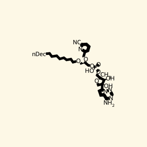 CCCCCCCCCCCCCCCCCCOC[C@H](COP(=O)(O)OC[C@@]1(C)OC[C@](O)(c2ccc3c(N)ncnn23)[C@@H]1O)OCc1cccc(C#N)n1